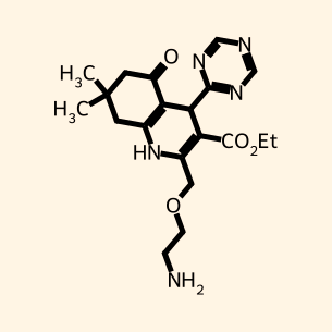 CCOC(=O)C1=C(COCCN)NC2=C(C(=O)CC(C)(C)C2)C1c1ncncn1